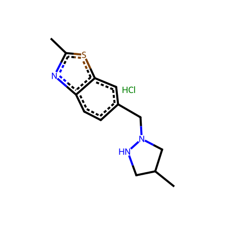 Cc1nc2ccc(CN3CC(C)CN3)cc2s1.Cl